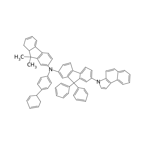 CC1(C)c2cc(N(c3ccc(C4C=CC=CC4)cc3)c3ccc4c(c3)C(c3ccccc3)(c3ccccc3)c3cc(-n5ccc6c7ccccc7ccc65)ccc3-4)ccc2C2=CC=CCC21